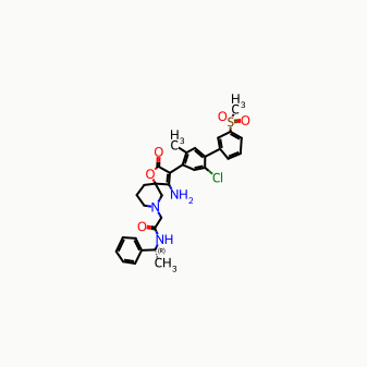 Cc1cc(-c2cccc(S(C)(=O)=O)c2)c(Cl)cc1C1=C(N)C2(CCCN(CC(=O)N[C@H](C)c3ccccc3)C2)OC1=O